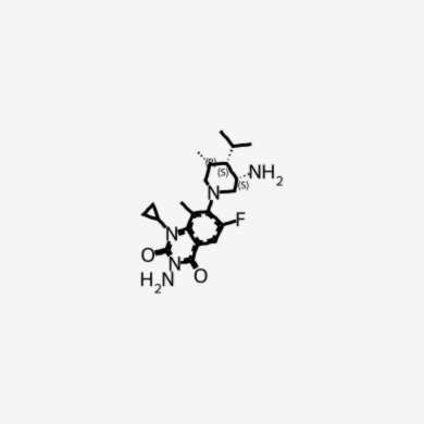 Cc1c(N2C[C@@H](N)[C@@H](C(C)C)[C@@H](C)C2)c(F)cc2c(=O)n(N)c(=O)n(C3CC3)c12